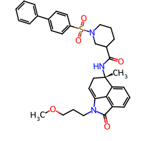 COCCCN1C(=O)c2cccc3c2C1=CC[C@]3(C)NC(=O)C1CCCN(S(=O)(=O)c2ccc(-c3ccccc3)cc2)C1